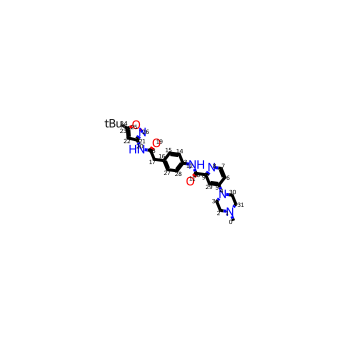 CN1CCN(c2ccnc(C(=O)Nc3ccc(CC(=O)Nc4cc(C(C)(C)C)on4)cc3)c2)CC1